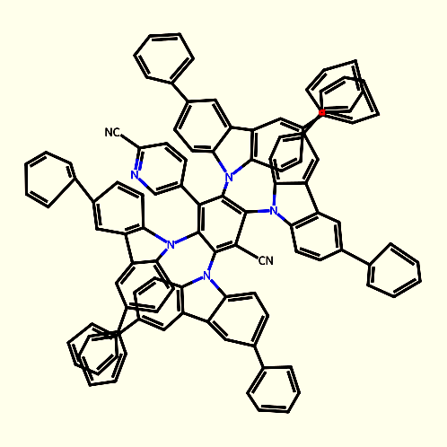 N#Cc1ccc(-c2c(-n3c4ccc(-c5ccccc5)cc4c4cc(-c5ccccc5)ccc43)c(-n3c4ccc(-c5ccccc5)cc4c4cc(-c5ccccc5)ccc43)c(C#N)c(-n3c4ccc(-c5ccccc5)cc4c4cc(-c5ccccc5)ccc43)c2-n2c3ccc(-c4ccccc4)cc3c3cc(-c4ccccc4)ccc32)cn1